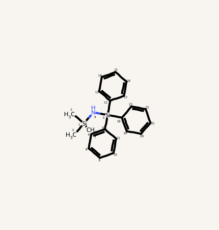 C[Si](C)(C)N[Si](c1ccccc1)(c1ccccc1)c1ccccc1